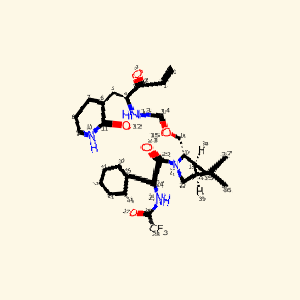 C=CC(=O)[C@H](C[C@@H]1CCCNC1=O)NCOC[C@@H]1[C@@H]2[C@H](CN1C(=O)[C@@H](NC(=O)C(F)(F)F)C1CCCCC1)C2(C)C